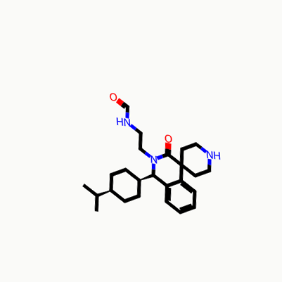 CC(C)[C@H]1CC[C@@H](C2c3ccccc3C3(CCNCC3)C(=O)N2CCNC=O)CC1